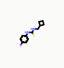 S=C(NCC1CCC1)Nc1ccc(I)cc1